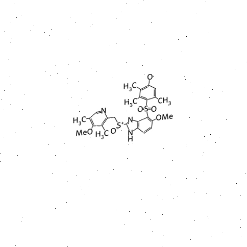 COc1ccc2[nH]c([S+]([O-])Cc3ncc(C)c(OC)c3C)nc2c1S(=O)(=O)c1c(C)cc([O])c(C)c1C